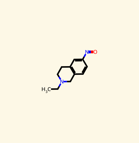 CCN1CCc2cc(N=O)ccc2C1